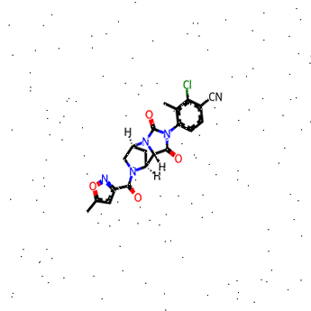 Cc1cc(C(=O)N2C[C@@H]3C[C@H]2[C@H]2C(=O)N(c4ccc(C#N)c(Cl)c4C)C(=O)N32)no1